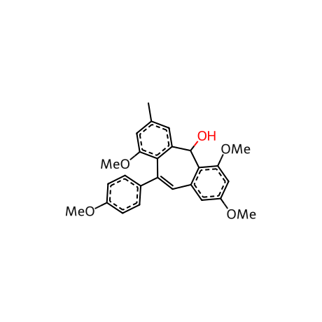 COc1ccc(C2=Cc3cc(OC)cc(OC)c3C(O)c3cc(C)cc(OC)c32)cc1